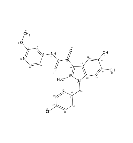 COc1cc(NC(=O)C(=O)c2c(C)n(Cc3ccc(Cl)cc3)c3cc(O)c(O)cc23)ccn1